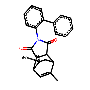 CC1=CC2C3C(=O)N(c4ccccc4-c4ccccc4)C(=O)C3C1C[C@H]2C(C)C